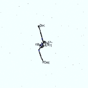 CCCCCCCCC#CC(=N\c1ccccc1CCC/C=C/CCCCCCCCCCCCCCCCCCCCCCCC)/C(CCCC)=N\c1ccccc1CCC/C=C/CCCCCCCCCCCCCCCCCCCCCCCC.[Pd+2]